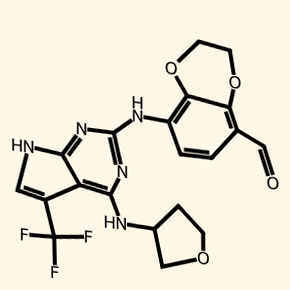 O=Cc1ccc(Nc2nc(NC3CCOC3)c3c(C(F)(F)F)c[nH]c3n2)c2c1OCCO2